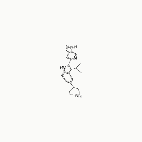 CC(C)c1c(-c2cc3cn[nH]c3cn2)[nH]c2ccc(C3CCNCC3)cc12